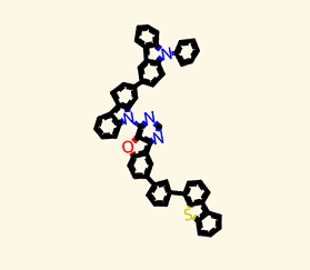 c1ccc(-n2c3ccccc3c3cc(-c4ccc5c6ccccc6n(-c6ncnc7c6oc6ccc(-c8cccc(-c9cccc%10c9sc9ccccc9%10)c8)cc67)c5c4)ccc32)cc1